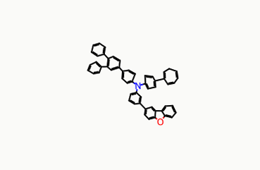 C1=CCC=C(c2ccc(N(c3ccc(-c4ccc(-c5ccccc5)c(-c5ccccc5)c4)cc3)c3cccc(-c4ccc5oc6ccccc6c5c4)c3)cc2)C=C1